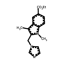 CCOC(=O)c1ccc2c(c1)c(C)c(Cn1ccnc1)n2C